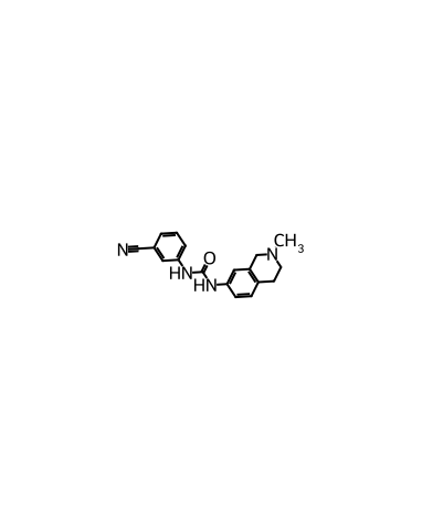 CN1CCc2ccc(NC(=O)Nc3cccc(C#N)c3)cc2C1